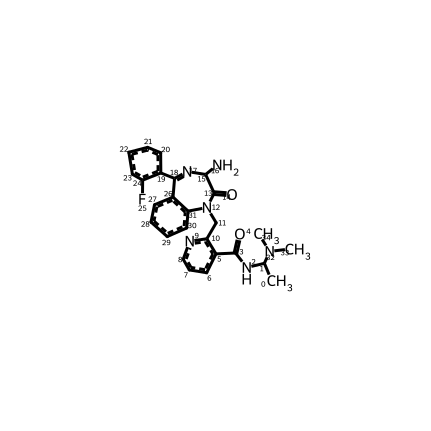 CC(NC(=O)c1cccnc1CN1C(=O)C(N)N=C(c2ccccc2F)c2ccccc21)N(C)C